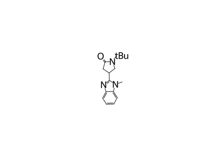 Cn1c(C2CC(=O)N(C(C)(C)C)C2)nc2ccccc21